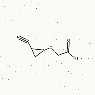 N#CC1CN1OCC(=O)O